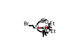 CCC1O[Si](C)(C)CCC[Si]2(CCCBr)CCC[Si](C)(C)OC(CC)C1(C)O[Si](C)(C)CCC2